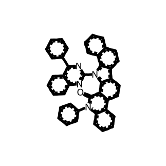 O=c1c2c(ccc3c4ccc5ccccc5c4n(-c4nc(-c5ccccc5)c5ccccc5n4)c32)c2ccccc2n1-c1ccccc1